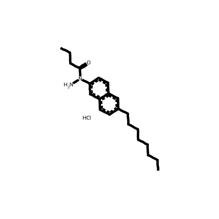 CCCCCCCCc1ccc2cc(N(N)C(=O)CCC)ccc2c1.Cl